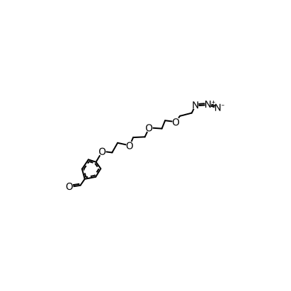 [N-]=[N+]=NCCOCCOCCOCCOc1ccc(C=O)cc1